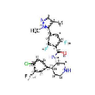 CCc1cnn(C)c1-c1cc(F)c(C(=O)N[C@@H]2CNCC[C@H]2c2ccc(Cl)c(C(F)(F)F)c2)c(F)c1